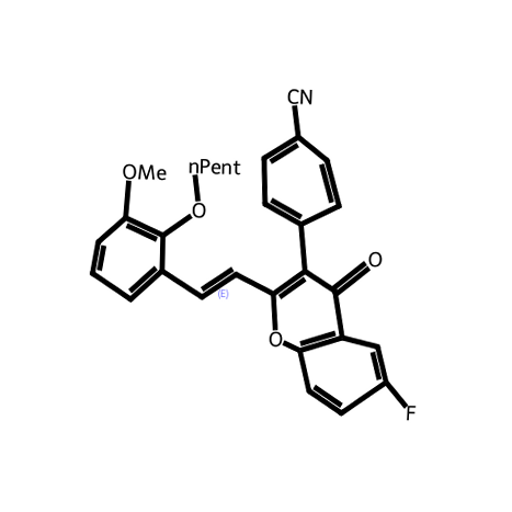 CCCCCOc1c(/C=C/c2oc3ccc(F)cc3c(=O)c2-c2ccc(C#N)cc2)cccc1OC